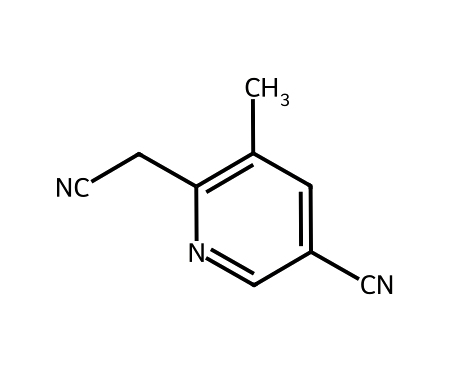 Cc1cc(C#N)cnc1CC#N